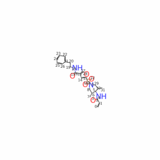 C=CC(=O)NC1C(C)CN(S(=O)(=O)c2cc(C(=O)NCCc3ccccc3)co2)CC1C